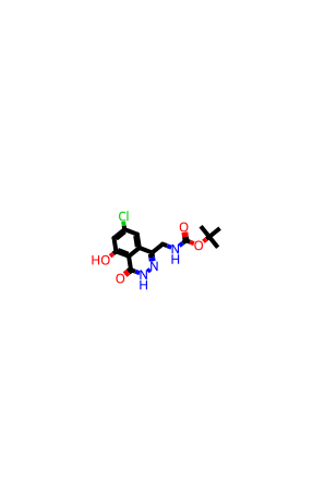 CC(C)(C)OC(=O)NCc1n[nH]c(=O)c2c(O)cc(Cl)cc12